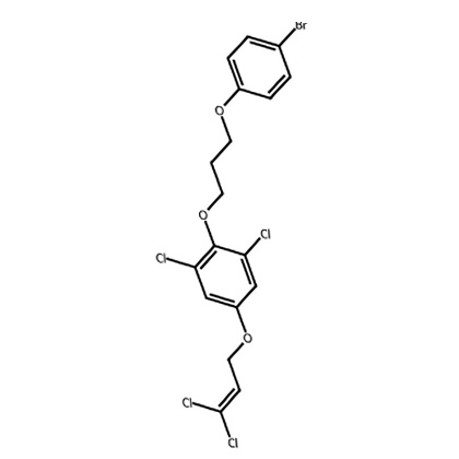 ClC(Cl)=CCOc1cc(Cl)c(OCCCOc2ccc(Br)cc2)c(Cl)c1